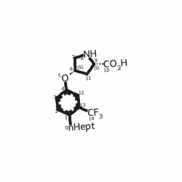 CCCCCCCc1ccc(O[C@@H]2CN[C@H](C(=O)O)C2)cc1C(F)(F)F